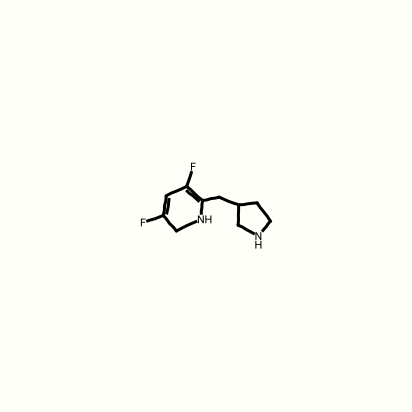 FC1=CC(F)=C(CC2CCNC2)NC1